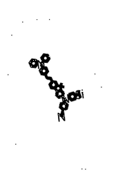 CC1(C)c2cc(/C=C/c3ccc(N(c4ccccc4)c4ccccc4)cc3)ccc2-c2ccc(N(c3ccc(C#N)cc3)c3ccc([Si](C)(C)C)cc3)cc21